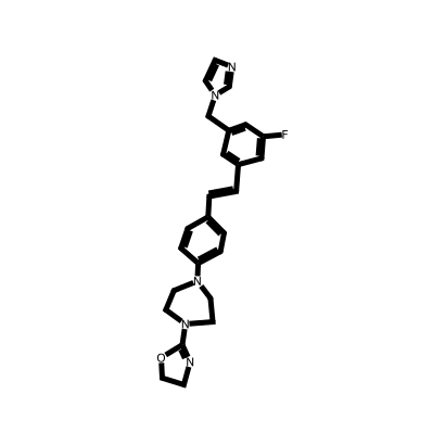 Fc1cc(/C=C/c2ccc(N3CCN(C4=NCCO4)CC3)cc2)cc(Cn2ccnc2)c1